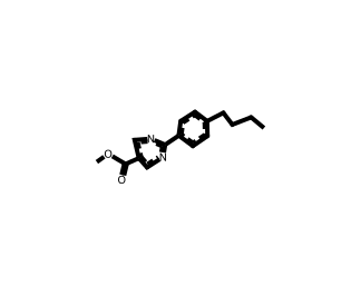 CCCCc1ccc(-c2ncc(C(=O)OC)cn2)cc1